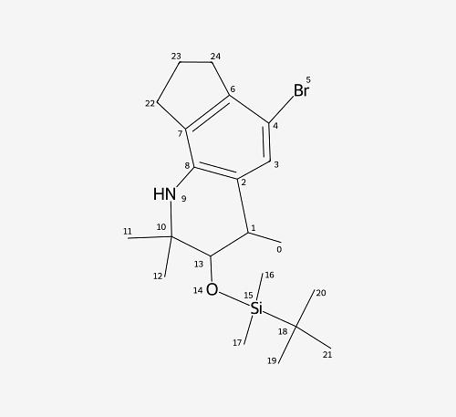 CC1c2cc(Br)c3c(c2NC(C)(C)C1O[Si](C)(C)C(C)(C)C)CCC3